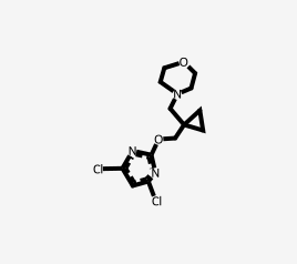 Clc1cc(Cl)nc(OCC2(CN3CCOCC3)CC2)n1